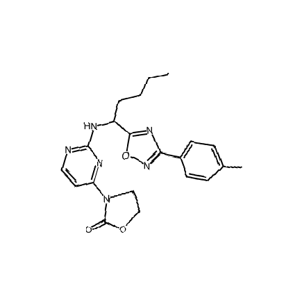 CCCCC(Nc1nccc(N2CCOC2=O)n1)c1nc(-c2ccc(C)cc2)no1